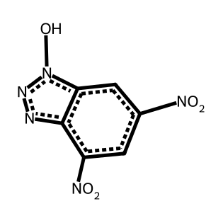 O=[N+]([O-])c1cc([N+](=O)[O-])c2nnn(O)c2c1